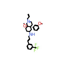 C=CCN1CC[C@@]2(c3cccc(OC)c3)C[C@@H](NCC=Cc3cccc(C(F)(F)F)c3)CC[C@]2(OC)C1